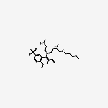 C=C/C(C)=C(/c1cc(C(C)(F)F)ccc1CC)N(CCNC)CC[C@@H](C)COCCCCC